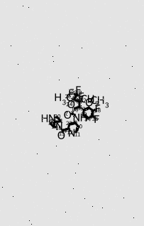 COc1c([C@H]2[C@H](C(=O)Nc3ccnc(C(=O)N4C5CNCC4C5)c3)O[C@@](C)(C(F)(F)F)[C@H]2C)ccc(F)c1F